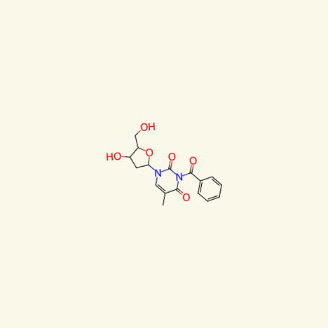 Cc1cn(C2CC(O)C(CO)O2)c(=O)n(C(=O)c2ccccc2)c1=O